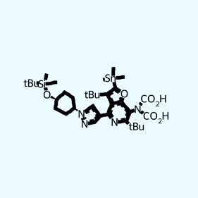 CC(C)(C)c1nc(-c2cnn([C@H]3CC[C@H](O[Si](C)(C)C(C)(C)C)CC3)c2)c2c(C(C)(C)C)[c]([Sn]([CH3])([CH3])[CH3])oc2c1N(C(=O)O)C(=O)O